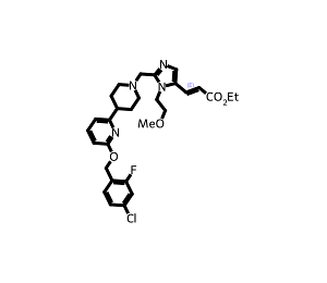 CCOC(=O)/C=C/c1cnc(CN2CCC(c3cccc(OCc4ccc(Cl)cc4F)n3)CC2)n1CCOC